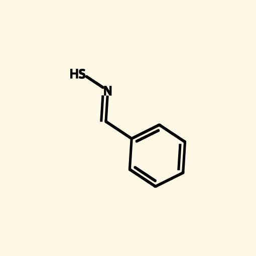 SN=Cc1ccccc1